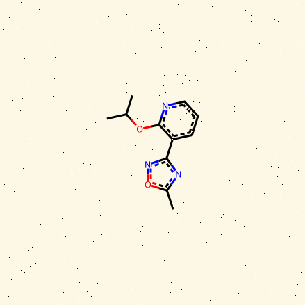 Cc1nc(-c2cccnc2OC(C)C)no1